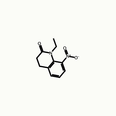 CCN1C(=O)CCc2cccc([N+](=O)[O-])c21